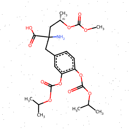 COC(=O)O[C@@H](C)CC(N)(Cc1ccc(OC(=O)OC(C)C)c(OC(=O)OC(C)C)c1)C(=O)O